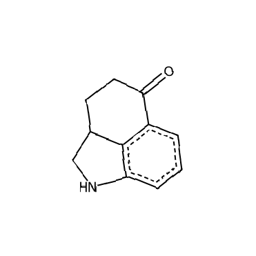 O=C1CCC2CNc3cccc1c32